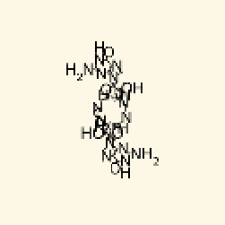 Nc1nc2c(ncn2[C@@H]2O[C@@H]3CN=C=N[C@H]4[C@@H](O)[C@H](n5cnc6c(=O)[nH]c(N)nc65)O[C@@H]4CN=C=N[C@H]3[C@H]2O)c(=O)[nH]1